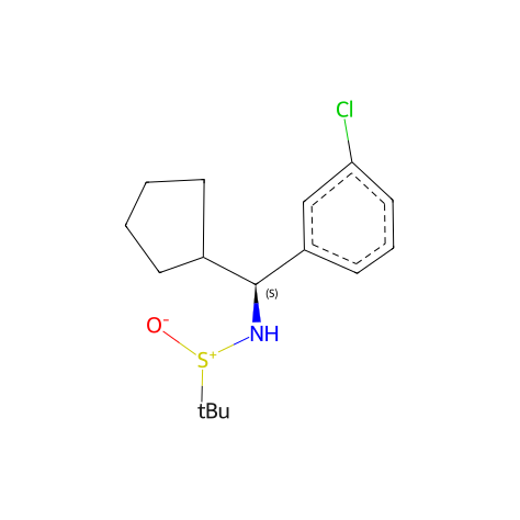 CC(C)(C)[S+]([O-])N[C@H](c1cccc(Cl)c1)C1CCCC1